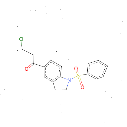 O=C(CCCl)c1ccc2c(c1)CCN2S(=O)(=O)c1ccccc1